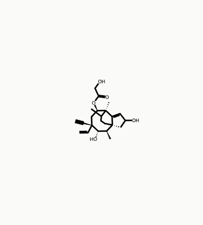 C#C[C@@]1(C=C)C[C@@H](OC(=O)CO)[C@@]2(C)C3=CC(O)C[C@@]3(CCC2C)[C@@H](C)[C@@H]1O